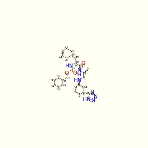 C[C@@H](CNc1cccc(-c2nnn[nH]2)c1)NC(=O)[C@H](CC1CCCCC1)NC(=O)OCc1ccccc1